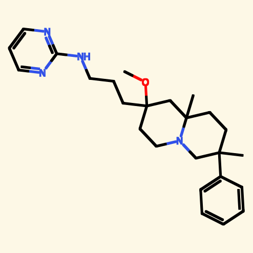 COC1(CCCNc2ncccn2)CCN2CC(C)(c3ccccc3)CCC2(C)C1